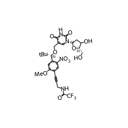 COc1cc([C@@H](OCc2cn([C@@H]3CC(O)[C@H](CO)O3)c(=O)[nH]c2=O)C(C)(C)C)c([N+](=O)[O-])cc1C#CCNC(=O)C(F)(F)F